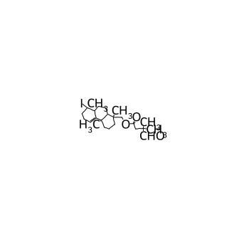 CC(C)(C=O)CC(=O)OC[C@]1(C)CCC[C@@]2(C)C3=CCC[C@](C)(I)C3CCC12